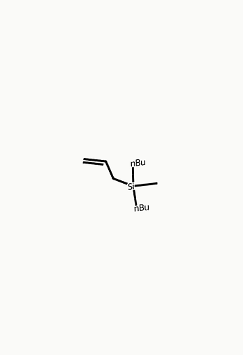 C=CC[Si](C)(CCCC)CCCC